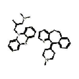 CC(CN(C)C)CN1c2ccccc2Sc2ccccc21.CN1CCC(=C2c3ccccc3CCc3cccnc32)CC1